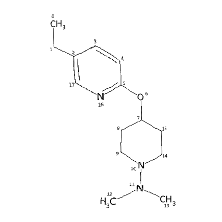 CCc1ccc(OC2CCN(N(C)C)CC2)nc1